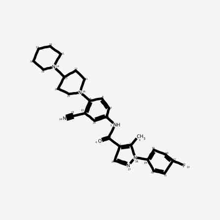 Cc1c(C(=O)Nc2ccc(N3CCC(N4CCCCC4)CC3)c(C#N)c2)cnn1-c1ccc(F)cc1